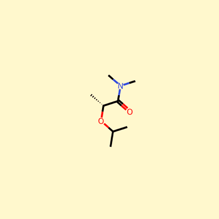 CC(C)O[C@H](C)C(=O)N(C)C